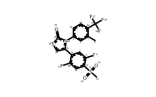 Cc1cc(-n2c(-c3cc(F)c(S(C)(=O)=O)cc3F)csc2=O)ccc1C(F)(F)F